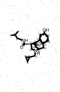 CC(C)CNC(=O)[C@H]1C[C@]23CCN(CC4CC4)[C@H](Cc4ccc(O)cc42)[C@]3(O)C1